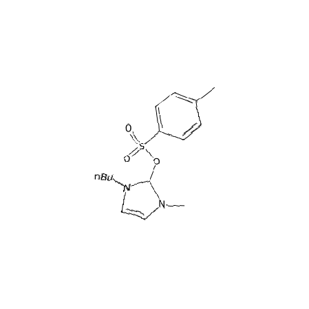 CCCCN1C=CN(C)C1OS(=O)(=O)c1ccc(C)cc1